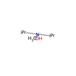 CC(C)CCCCCCCCCCN(CCCCCCCCCCC(C)C)CCC(C)O